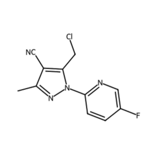 Cc1nn(-c2ccc(F)cn2)c(CCl)c1C#N